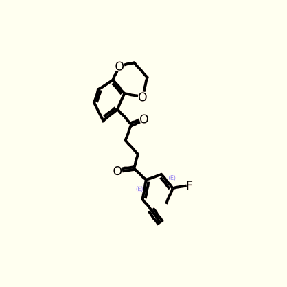 C#C/C=C(\C=C(/C)F)C(=O)CCC(=O)c1cccc2c1OCCO2